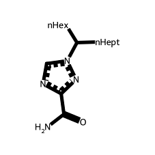 CCCCCCCC(CCCCCC)n1cnc(C(N)=O)n1